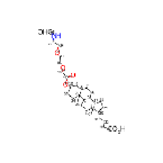 CC12CCC3C(CCC4CC(OC(=O)COCCOCCNC=O)CCC43C)C1CCC2CCCC(=O)O